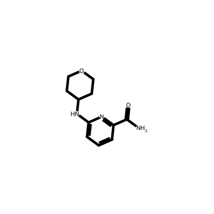 NC(=O)c1[c]ccc(NC2CCOCC2)n1